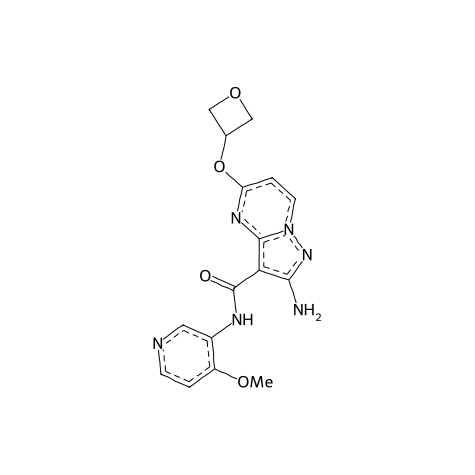 COc1ccncc1NC(=O)c1c(N)nn2ccc(OC3COC3)nc12